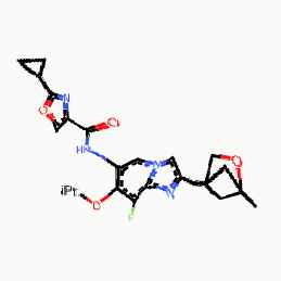 CC(C)Oc1c(NC(=O)c2coc(C3CC3)n2)cn2cc(C34COC(C)(C3)C4)nc2c1F